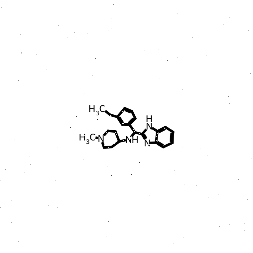 CCc1cccc(C(NC2CCN(C)CC2)c2nc3ccccc3[nH]2)c1